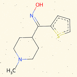 CN1CCC(C(=NO)c2cccs2)CC1